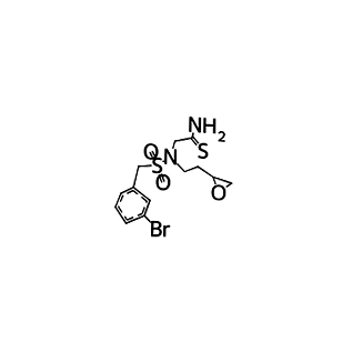 NC(=S)CN(CCC1CO1)S(=O)(=O)Cc1cccc(Br)c1